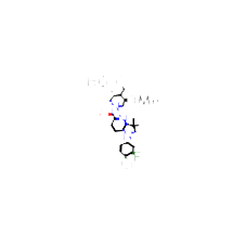 COC1CN(C(=O)c2ccc3c(n2)C(C)(C)CN3c2ccc(Cl)c(F)c2)CCC1CC(=O)O